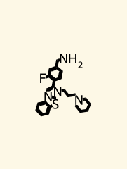 NCc1ccc(C2=CN3c4ccccc4SC3N2CCCN2CCCCC2)c(F)c1